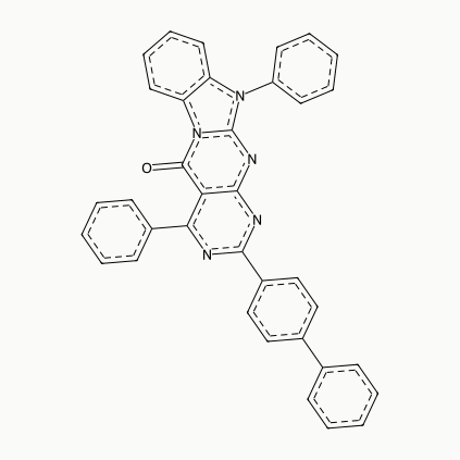 O=c1c2c(-c3ccccc3)nc(-c3ccc(-c4ccccc4)cc3)nc2nc2n(-c3ccccc3)c3ccccc3n12